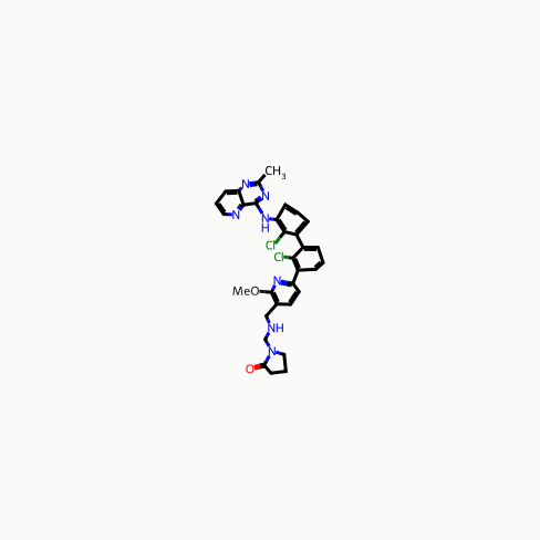 COc1nc(-c2cccc(-c3cccc(Nc4nc(C)nc5cccnc45)c3Cl)c2Cl)ccc1CNCN1CCCC1=O